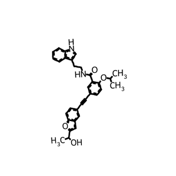 CC(C)Oc1ccc(C#Cc2ccc3oc(C(C)O)cc3c2)cc1C(=O)NCCc1c[nH]c2ccccc12